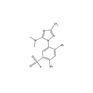 CC(C)c1cc(C(C)C)c(S(=O)(=O)F)cc1-n1nc(C(F)(F)F)nc1N(C)C